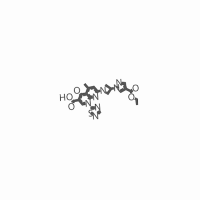 CCOC(=O)c1cnn(C2CN(c3cc(C)c4c(=O)c(C(=O)O)cn(-c5ncns5)c4n3)C2)c1